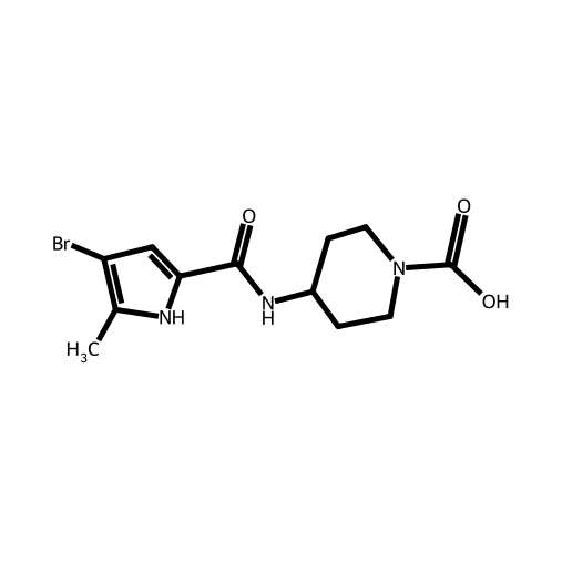 Cc1[nH]c(C(=O)NC2CCN(C(=O)O)CC2)cc1Br